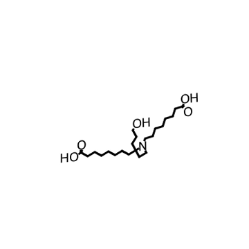 O=C(O)CCCCCCCN1CCC1(CCCO)CCCCCCCC(=O)O